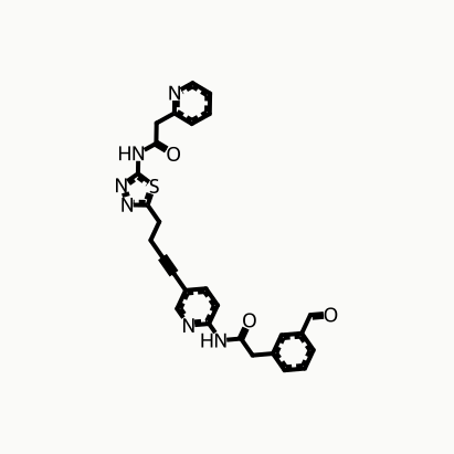 O=Cc1cccc(CC(=O)Nc2ccc(C#CCCc3nnc(NC(=O)Cc4ccccn4)s3)cn2)c1